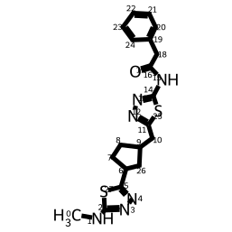 CNc1nnc(C2CCC(Cc3nnc(NC(=O)Cc4ccccc4)s3)C2)s1